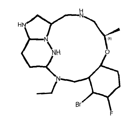 CCN1CC2C(CCC(F)C2Br)O[C@H](C)CNCC2CNC3CCC1NN23